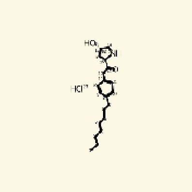 CCCCCCCCc1ccc(CC(=O)[C@H]2C[C@H](O)CN2)cc1.Cl